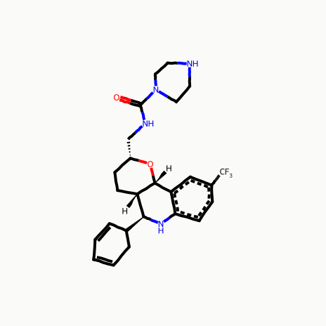 O=C(NC[C@H]1CC[C@@H]2[C@H](O1)c1cc(C(F)(F)F)ccc1N[C@H]2C1C=CC=CC1)N1CCNCC1